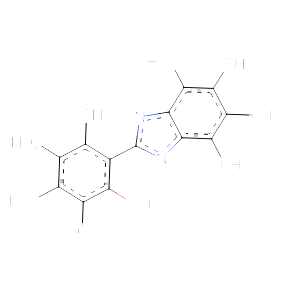 Cc1c(C)c(C)c(-c2nc3c(C)c(C)c(C)c(C)c3[nH]2)c(O)c1C